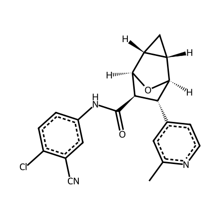 Cc1cc([C@H]2[C@H]3O[C@H]([C@@H]4C[C@@H]43)[C@@H]2C(=O)Nc2ccc(Cl)c(C#N)c2)ccn1